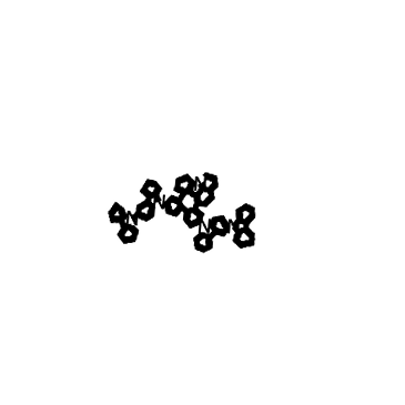 c1ccc2c(c1)-c1cc(-n3c4ccccc4c4cc(-n5c6ccccc6c6ccccc65)ccc43)ccc1-c1ccc(-n3c4ccccc4c4cc(-n5c6ccccc6c6ccccc65)ccc43)cc1-c1ccc3cccnc3c1-2